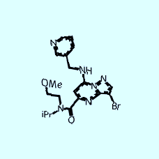 COCCN(C(=O)c1cc(NCc2cccnc2)n2ncc(Br)c2n1)C(C)C